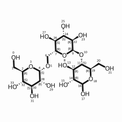 OC[C@H]1O[C@H](OC[C@H]2O[C@H](O[C@H]3[C@H](O)[C@@H](O)C(O)O[C@@H]3CO)[C@H](O)[C@@H](O)[C@@H]2O)[C@H](O)[C@@H](O)[C@@H]1O